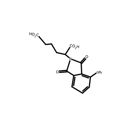 CCCc1cccc2c1C(=O)N(C(CCCC(=O)O)C(=O)O)C2=O